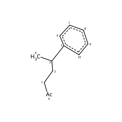 CC(=O)CCC(C)c1ccccc1